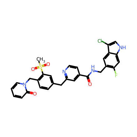 CS(=O)(=O)c1cc(Cc2cc(C(=O)NCc3cc4c(Cl)c[nH]c4cc3F)ccn2)ccc1Cn1ccccc1=O